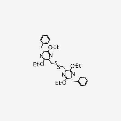 CCOC1=N[C@H](Cc2ccccc2)C(OCC)=N[C@H]1CSSC[C@H]1N=C(OCC)[C@@H](Cc2ccccc2)N=C1OCC